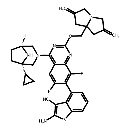 C=C1CN2CC(=C)CC2(COc2nc(N3C[C@@H]4CC[C@](C5CC5)(C3)N4)c3cc(F)c(-c4cccc5sc(N)c(C#N)c45)c(F)c3n2)C1